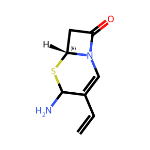 C=CC1=CN2C(=O)C[C@H]2SC1N